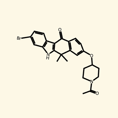 CC(=O)N1CCC(Oc2ccc3c(c2)C(C)(C)c2[nH]c4cc(Br)ccc4c2C3=O)CC1